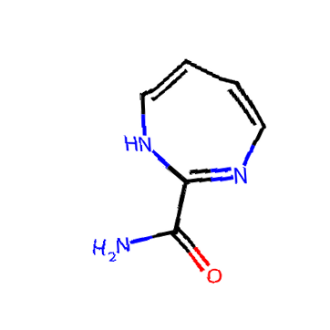 NC(=O)C1=NC=CC=CN1